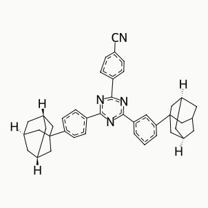 N#Cc1ccc(-c2nc(-c3ccc(C45C[C@H]6C[C@@H](C4)C[C@@H](C5)C6)cc3)nc(-c3cccc(C45CC6C[C@H](C4)C[C@@H](C6)C5)c3)n2)cc1